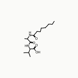 CCCCCCCC(=O)NC(C)C(=O)NC(C(=O)O)C(C)C